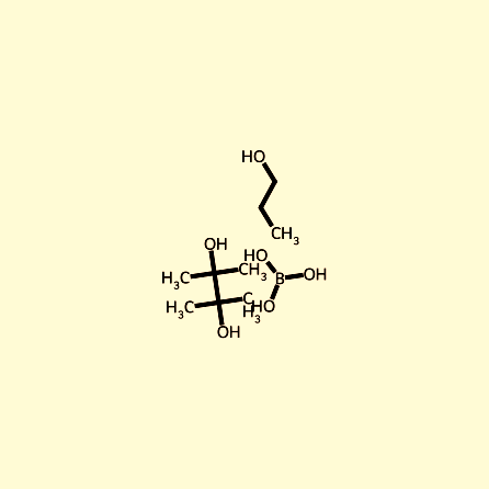 CC(C)(O)C(C)(C)O.CCCO.OB(O)O